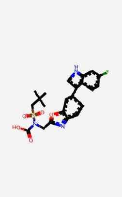 CC(C)(C)CS(=O)(=O)N(Cc1nc2ccc(-c3c[nH]c4cc(F)ccc34)cc2o1)C(=O)O